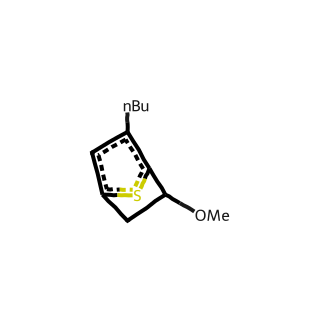 CCCCc1cc2sc1C(OC)C2